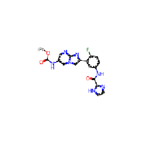 CC(C)OC(=O)Nc1cnc2nc(-c3cc(NC(=O)c4ncc[nH]4)ccc3F)cn2c1